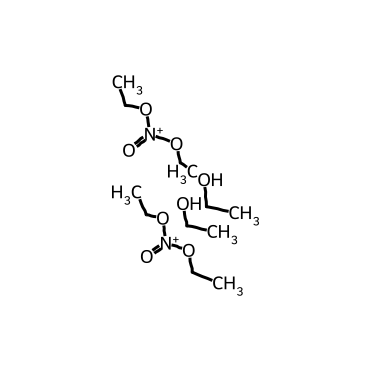 CCO.CCO.CCO[N+](=O)OCC.CCO[N+](=O)OCC